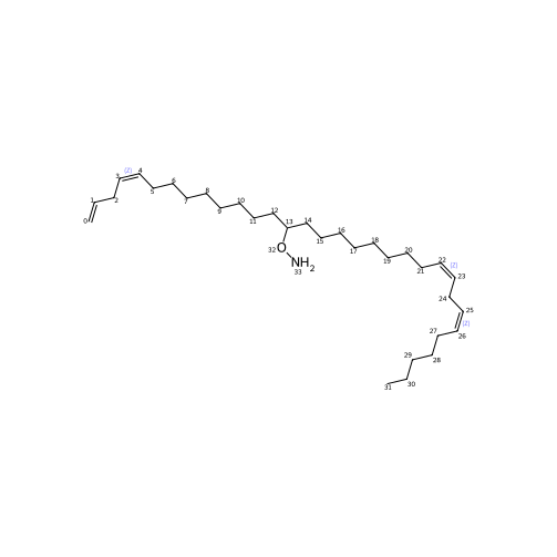 C=CC/C=C\CCCCCCCCC(CCCCCCCC/C=C\C/C=C\CCCCC)ON